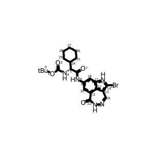 CC(C)(C)OC(=O)N[C@@H](C(=O)Nc1cc2c3c(c(Br)[nH]c3c1)C=NNC2=O)C1CCCCC1